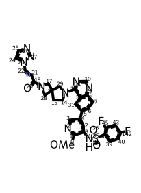 COc1ncc(-c2ccc3ncnc(N4CCC5(CN(C(=O)/C=C/n6ccnn6)C5)C4)c3c2)cc1NS(=O)(=O)c1ccc(F)cc1F